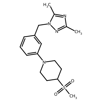 Cc1nc(C)n(Cc2cccc(N3CCC(S(C)(=O)=O)CC3)c2)n1